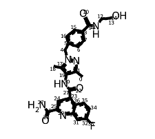 Cc1nn(Cc2ccc(C(=O)NCCO)cc2)c(C)c1NC(=O)c1cc(C(N)=O)nc2cc(F)ccc12